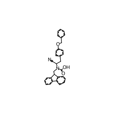 N#CC(Cc1ccc(OCc2ccccc2)cc1)N(CC1c2ccccc2-c2ccccc21)C(=O)O